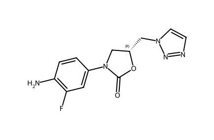 Nc1ccc(N2C[C@H](Cn3ccnn3)OC2=O)cc1F